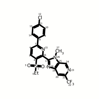 CCS(=O)(=O)c1ccc(-c2ccc(Cl)cc2)nc1-c1nc2cc(C(F)(F)F)ncc2n1C